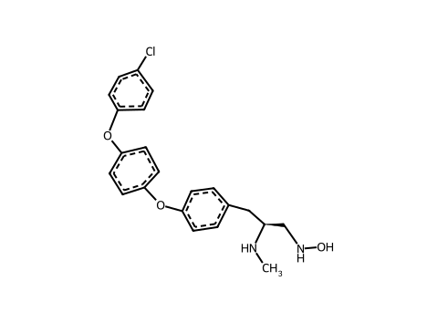 CN[C@H](CNO)Cc1ccc(Oc2ccc(Oc3ccc(Cl)cc3)cc2)cc1